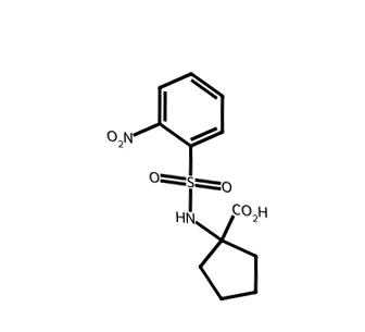 O=C(O)C1(NS(=O)(=O)c2ccccc2[N+](=O)[O-])CCCC1